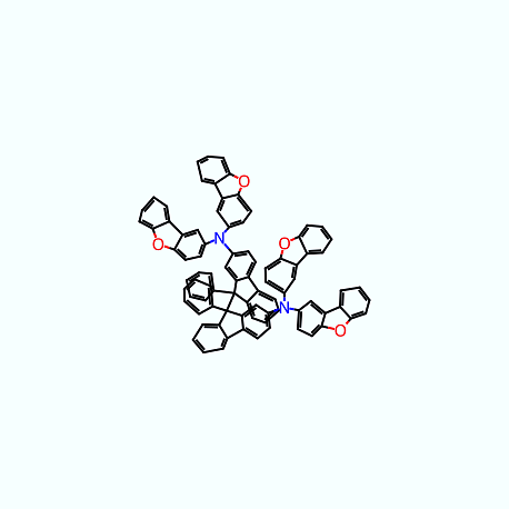 c1ccc(C2(C3(c4ccccc4)c4ccccc4-c4ccc(N(c5ccc6oc7ccccc7c6c5)c5ccc6oc7ccccc7c6c5)cc43)c3ccccc3-c3ccc(N(c4ccc5oc6ccccc6c5c4)c4ccc5oc6ccccc6c5c4)cc32)cc1